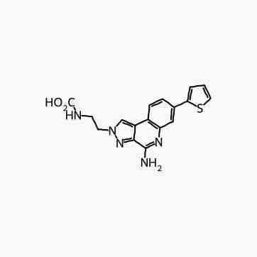 Nc1nc2cc(-c3cccs3)ccc2c2cn(CCNC(=O)O)nc12